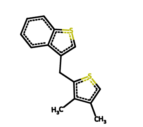 Cc1csc(Cc2csc3ccccc23)c1C